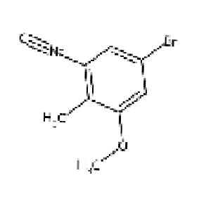 [C-]#[N+]c1cc(Br)cc(OC)c1C